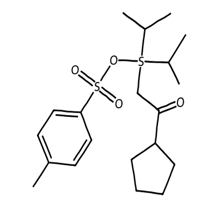 Cc1ccc(S(=O)(=O)OS(CC(=O)C2CCCC2)(C(C)C)C(C)C)cc1